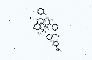 Cc1csc([C@H]2CCCN2C(=O)c2cccc(C(=O)N[C@@H](Cc3ccccc3)[C@H](O)CN(C)c3cncc(C(C)(C)F)c3)c2)n1